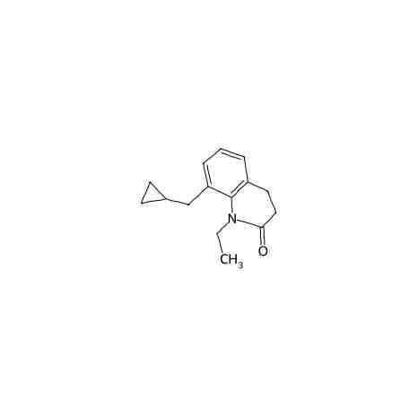 CCN1C(=O)CCc2cccc(CC3CC3)c21